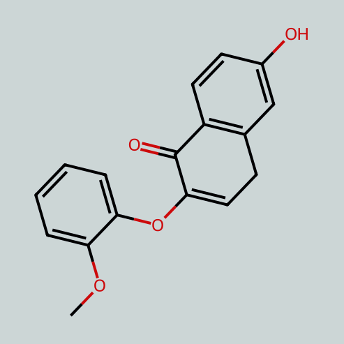 COc1ccccc1OC1=CCc2cc(O)ccc2C1=O